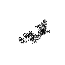 C[C@H](NC(=O)CCN1C(=O)C=CC1=O)C(=O)N[C@@H](C)C(=O)Nc1cccc(Cc2ccc(C3O[C@@H]4C[C@H]5[C@@H]6CCC7=CC(=O)C=C[C@]7(C)[C@@]6(F)[C@@H](O)C[C@]5(C)[C@]4(C(=O)CO)O3)cc2)c1